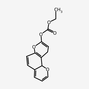 CCOC(=O)OC1=CCC2=C(C=CC3=CC=COC32)O1